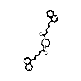 O=C(/C=C/C=C/c1ccnc2ccccc12)N1CCCN(C(=O)/C=C/C=C/c2ccnc3ccccc23)CC1